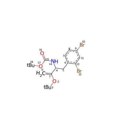 C=C(OC(C)(C)C)C(Cc1ccc(Br)cc1Br)NC(=O)OC(C)(C)C